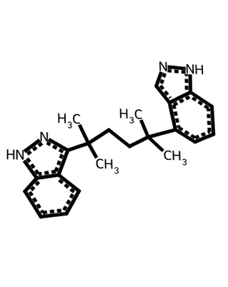 CC(C)(CCC(C)(C)c1n[nH]c2ccccc12)c1cccc2[nH]ncc12